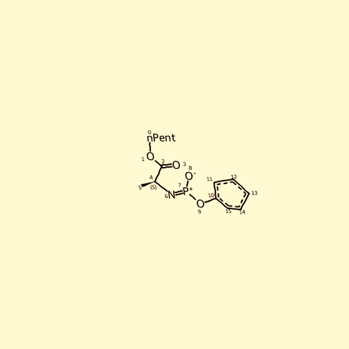 CCCCCOC(=O)[C@H](C)N=[P+]([O-])Oc1ccccc1